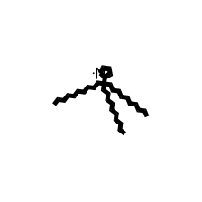 CCCCCCCCCCC(CCCCCCCCCC)(CCCCCCCCCC)C1=CC=C[N]1